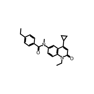 CCc1ccc(C(=O)N(C)c2ccc3c(c2)c(C2CC2)cc(=O)n3CC)cc1